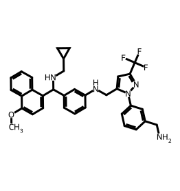 COc1ccc(C(NCC2CC2)c2cccc(NCc3cc(C(F)(F)F)nn3-c3cccc(CN)c3)c2)c2ccccc12